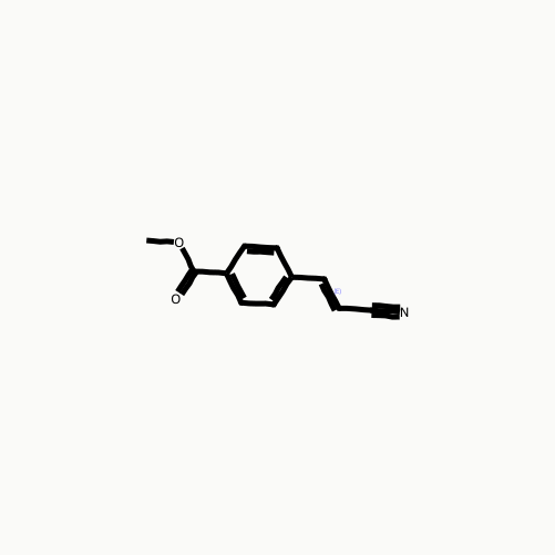 COC(=O)c1ccc(/C=C/C#N)cc1